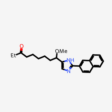 CCC(=O)CCCCCC(OC)c1cnc(-c2ccc3ccccc3c2)[nH]1